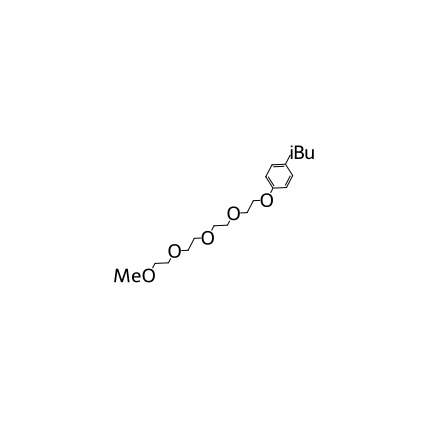 CCC(C)c1ccc(OCCOCCOCCOCCOC)cc1